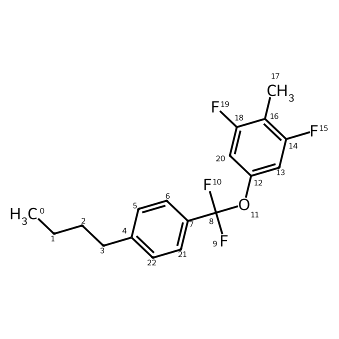 CCCCc1ccc(C(F)(F)Oc2cc(F)c(C)c(F)c2)cc1